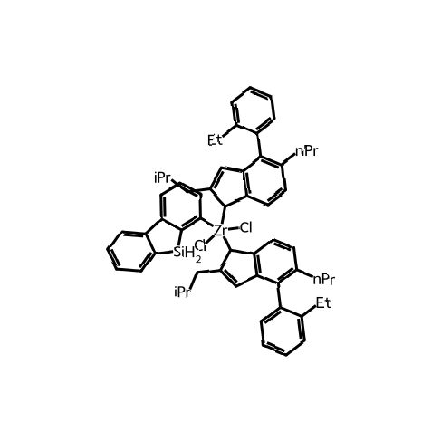 CCCc1ccc2c(c1-c1ccccc1CC)C=C(CC(C)C)[CH]2[Zr]([Cl])([Cl])([c]1cccc2c1[SiH2]c1ccccc1-2)[CH]1C(CC(C)C)=Cc2c1ccc(CCC)c2-c1ccccc1CC